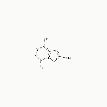 Cc1cc2c(C#N)ccc(O)n2c1